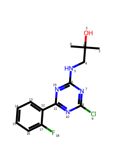 CC(C)(O)CNc1nc(Cl)nc(-c2ccccc2F)n1